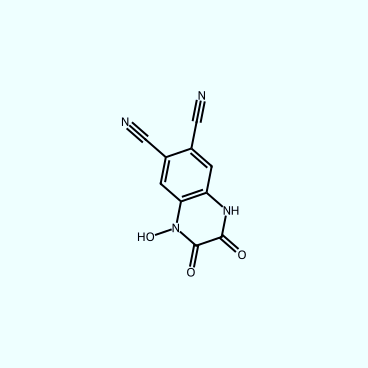 N#Cc1cc2[nH]c(=O)c(=O)n(O)c2cc1C#N